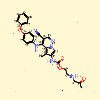 CC(=O)CNCCOC(=O)Nc1cn2ncc(C#N)c(Nc3ccc(Oc4ccccc4)cc3)c2c1C